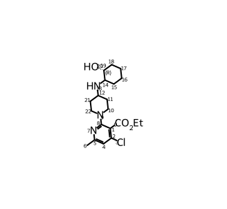 CCOC(=O)c1c(Cl)cc(C)nc1N1CCC(NC2CCCC[C@H]2O)CC1